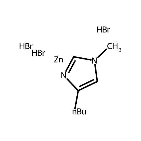 Br.Br.Br.CCCCc1cn(C)cn1.[Zn]